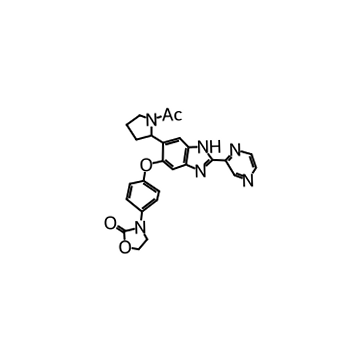 CC(=O)N1CCCC1c1cc2[nH]c(-c3cnccn3)nc2cc1Oc1ccc(N2CCOC2=O)cc1